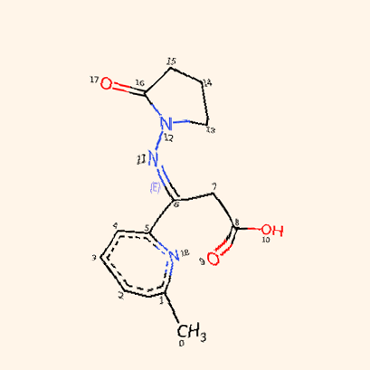 Cc1cccc(/C(CC(=O)O)=N/N2CCCC2=O)n1